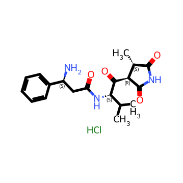 CC(C)[C@H](NC(=O)C[C@H](N)c1ccccc1)C(=O)[C@@H]1C(=O)NC(=O)[C@H]1C.Cl